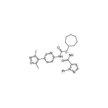 Cc1noc(C)c1-c1ccc(NC(=O)[C@@H](NC(=O)c2ccnn2C(C)C)C2CCCCCC2)nc1